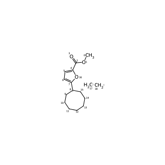 COC(=O)c1ccc([C]2CCCCCCC2)o1.[CH2].[CH2]